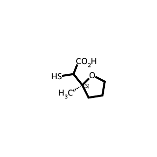 C[C@@]1(C(S)C(=O)O)CCCO1